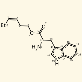 CC/C=C\CCOC(=O)[C@@H](N)Cc1c[nH]c2ccccc12